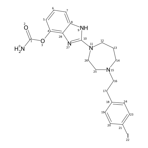 NC(=O)Oc1cccc2[nH]c(N3CCCN(CCc4ccc(I)cc4)CC3)nc12